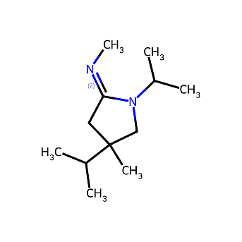 C/N=C1/CC(C)(C(C)C)CN1C(C)C